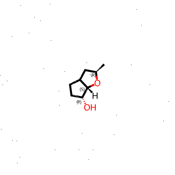 C[C@@H]1CC2CC[C@@H](O)[C@H]2O1